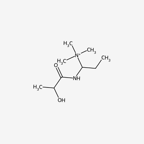 CCC(NC(=O)C(C)O)[N+](C)(C)C